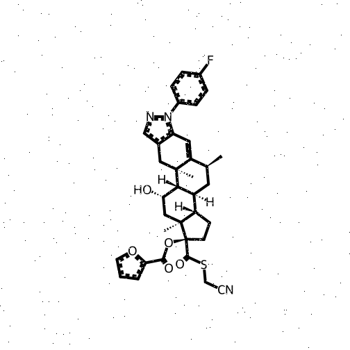 C[C@H]1C[C@@H]2[C@H]([C@@H](O)C[C@@]3(C)[C@H]2CC[C@]3(OC(=O)c2ccco2)C(=O)SCC#N)[C@@]2(C)Cc3cnn(-c4ccc(F)cc4)c3C=C12